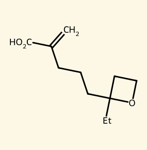 C=C(CCCC1(CC)CCO1)C(=O)O